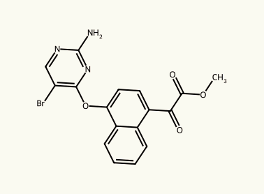 COC(=O)C(=O)c1ccc(Oc2nc(N)ncc2Br)c2ccccc12